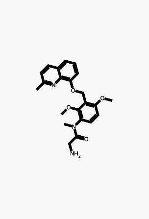 COc1ccc(N(C)C(=O)CN)c(OC)c1COc1cccc2ccc(C)nc12